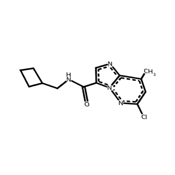 Cc1cc(Cl)nn2c(C(=O)NCC3CCC3)cnc12